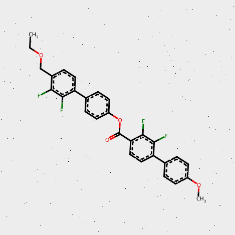 CCOCc1ccc(-c2ccc(OC(=O)c3ccc(-c4ccc(OC)cc4)c(F)c3F)cc2)c(F)c1F